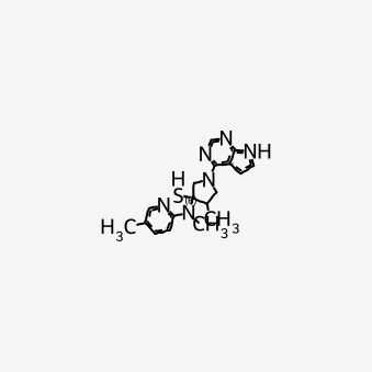 Cc1ccc(N(C)[C@]2(S)CN(c3ncnc4[nH]ccc34)CC2C)nc1